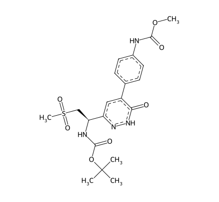 COC(=O)Nc1ccc(-c2cc([C@H](CS(C)(=O)=O)NC(=O)OC(C)(C)C)n[nH]c2=O)cc1